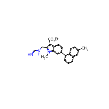 CCOC(=O)c1c(CNC=N)n(C)c2cc(-c3cccc4cc(C)ccc34)ccc12